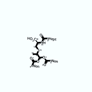 CCCCCCCCCC(=O)OC(OC(=O)CCCCCCCCC)C(C)SC[C@H](NC(=O)CCCCCCC)C(=O)O